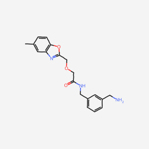 Cc1ccc2oc(COCC(=O)NCc3cccc(CN)c3)nc2c1